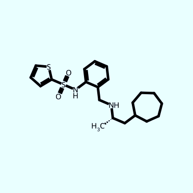 C[C@@H](CC1CCCCCC1)NCc1ccccc1NS(=O)(=O)c1cccs1